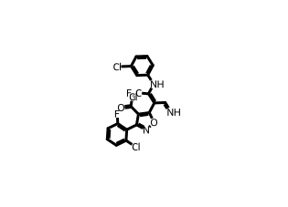 N=C/C(=C(\Nc1cccc(Cl)c1)C(F)(F)F)c1onc(-c2c(F)cccc2Cl)c1C(=O)Cl